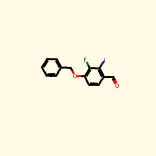 O=Cc1ccc(OCc2ccccc2)c(F)c1I